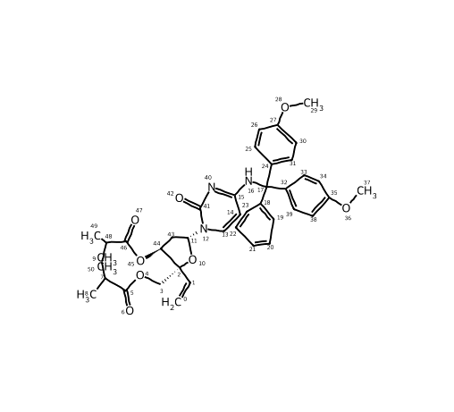 C=C[C@]1(COC(=O)C(C)C)O[C@@H](n2ccc(NC(c3ccccc3)(c3ccc(OC)cc3)c3ccc(OC)cc3)nc2=O)C[C@@H]1OC(=O)C(C)C